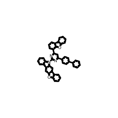 c1ccc(-c2ccc(-c3cc(-c4cccc5c4oc4ccccc45)nc(-n4c5ccccc5c5cc6oc7ccccc7c6cc54)n3)cc2)cc1